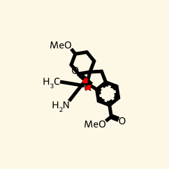 COC(=O)c1ccc2c(c1)C1(N=C(N)N(C)C1=O)C1(CCC(OC)CC1)C2